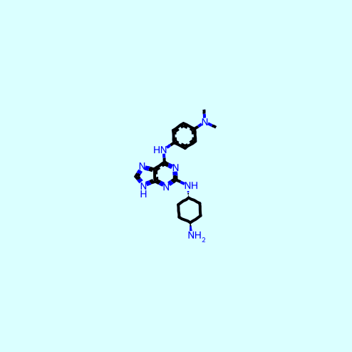 CN(C)c1ccc(Nc2nc(N[C@H]3CC[C@H](N)CC3)nc3[nH]cnc23)cc1